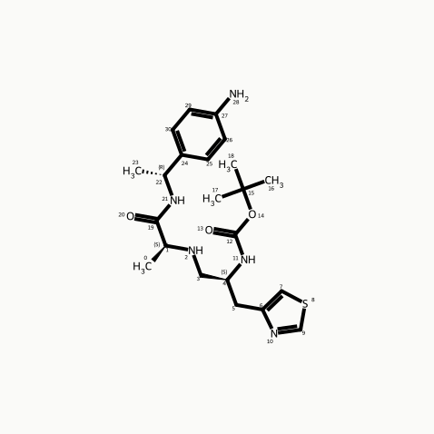 C[C@H](NC[C@H](Cc1cscn1)NC(=O)OC(C)(C)C)C(=O)N[C@H](C)c1ccc(N)cc1